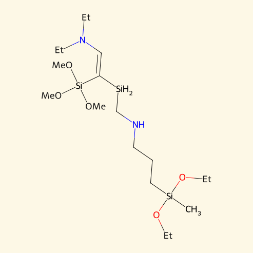 CCO[Si](C)(CCCNC[SiH2]C(=CN(CC)CC)[Si](OC)(OC)OC)OCC